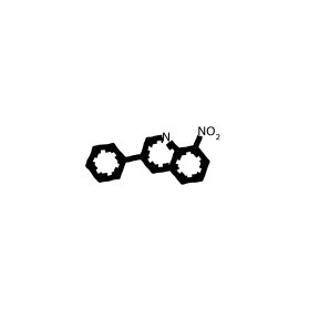 O=[N+]([O-])c1cccc2cc(-c3ccccc3)cnc12